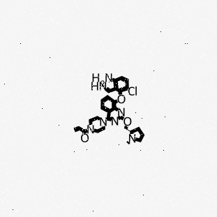 C=CC(=O)N1CCN(c2nc(OC[C@@H]3CCCN3C)nc3c(Oc4c(Cl)ccc(N)c4C=N)cccc23)CC1